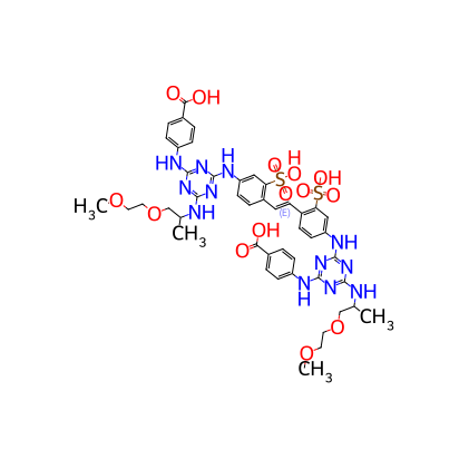 COCCOCC(C)Nc1nc(Nc2ccc(C(=O)O)cc2)nc(Nc2ccc(/C=C/c3ccc(Nc4nc(Nc5ccc(C(=O)O)cc5)nc(NC(C)COCCOC)n4)cc3S(=O)(=O)O)c(S(=O)(=O)O)c2)n1